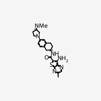 CN[C@@H]1CCN(c2ccc3c(c2)CC[C@@H](NC(=O)c2sc4nc(C)cnc4c2N)C3)C1